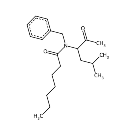 CCCCCCC(=O)N(Cc1ccccc1)C(CC(C)C)C(C)=O